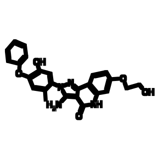 Cc1cc(Oc2ccccc2)c(O)cc1-n1nc2c(c1N)c(=O)[nH]c1cc(OCCO)ccc12